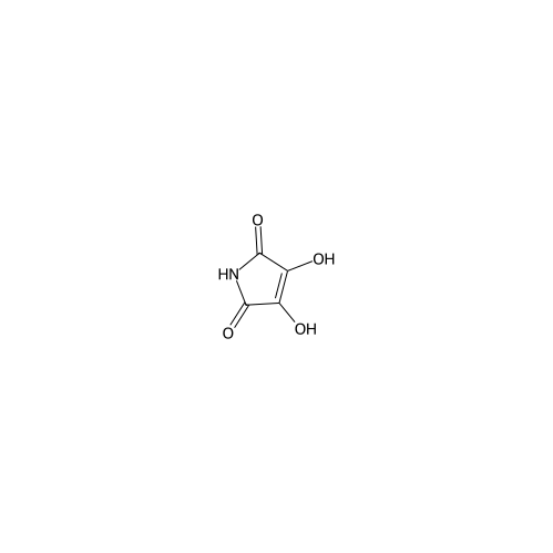 O=C1NC(=O)C(O)=C1O